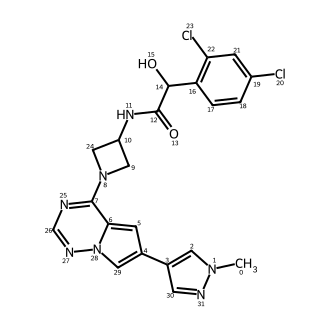 Cn1cc(-c2cc3c(N4CC(NC(=O)C(O)c5ccc(Cl)cc5Cl)C4)ncnn3c2)cn1